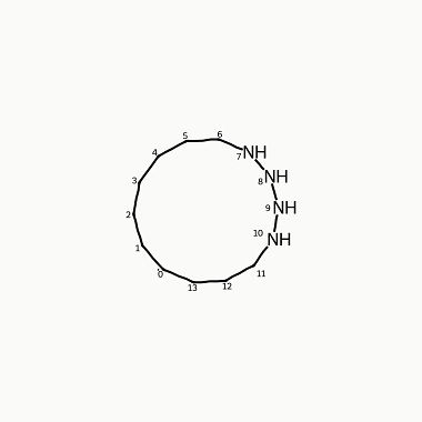 [CH]1CCCCCCNNNNCCC1